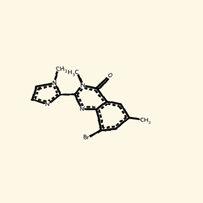 Cc1cc(Br)c2nc(-c3nccn3C)n(C)c(=O)c2c1